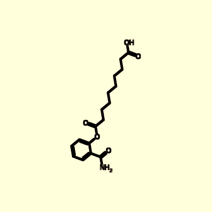 NC(=O)c1ccccc1OC(=O)CCCCCCCCC(=O)O